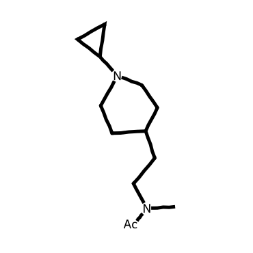 CC(=O)N(C)CCC1CCN(C2CC2)CC1